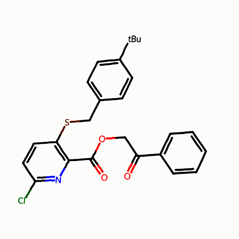 CC(C)(C)c1ccc(CSc2ccc(Cl)nc2C(=O)OCC(=O)c2ccccc2)cc1